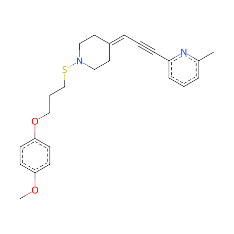 COc1ccc(OCCCSN2CCC(=CC#Cc3cccc(C)n3)CC2)cc1